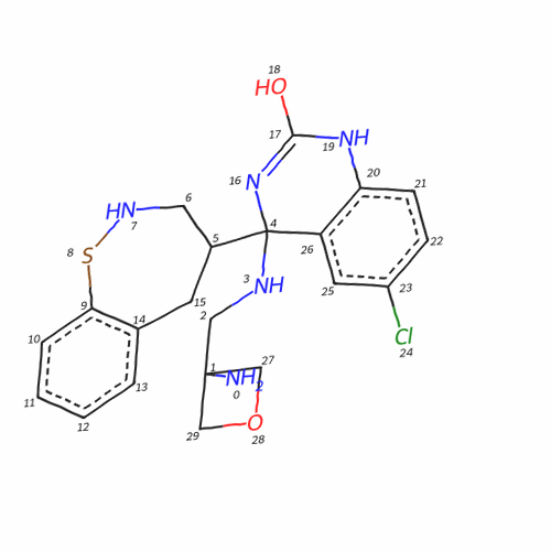 NC1(CNC2(C3CNSc4ccccc4C3)N=C(O)Nc3ccc(Cl)cc32)COC1